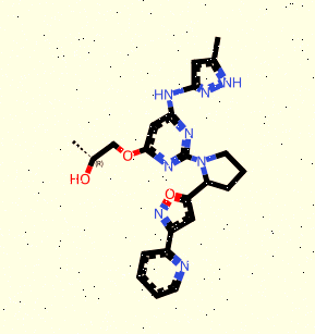 Cc1cc(Nc2cc(OC[C@@H](C)O)nc(N3CCCC3c3cc(-c4ccccn4)no3)n2)n[nH]1